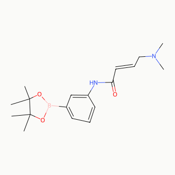 CN(C)C/C=C/C(=O)Nc1cccc(B2OC(C)(C)C(C)(C)O2)c1